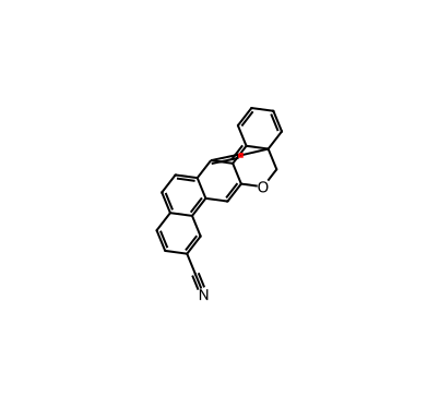 N#Cc1ccc2ccc3c4c5c(cc3c2c1)OCC1(C=CC=CC=51)CC=4